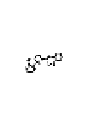 c1ccc2nnc(-c3ccc4ccc5ncccc5c4n3)cc2c1